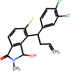 C=CCC(c1ccc(Cl)c(Cl)c1)c1c(F)ccc2c1C(O)N(C)C2=O